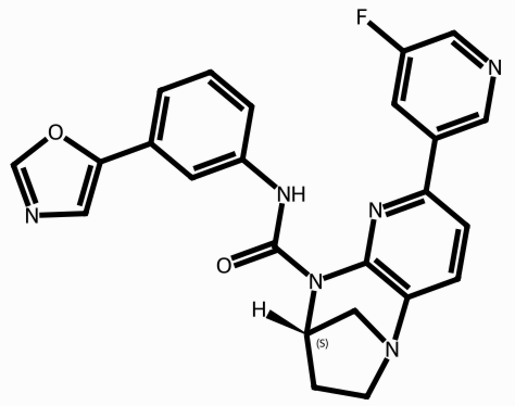 O=C(Nc1cccc(-c2cnco2)c1)N1c2nc(-c3cncc(F)c3)ccc2N2CC[C@H]1C2